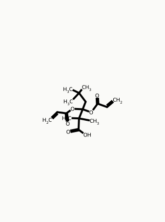 C=CC(=O)OC(CC(C)(C)C)(OC(=O)C=C)C(C)(C)C(=O)O